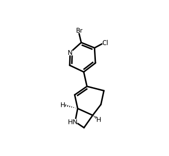 Clc1cc(C2=C[C@@H]3NC[C@@H]3CC2)cnc1Br